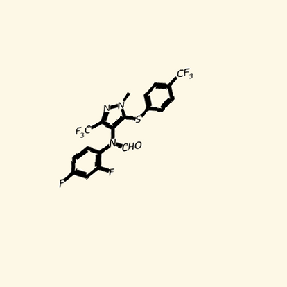 Cn1nc(C(F)(F)F)c(N(C=O)c2ccc(F)cc2F)c1Sc1ccc(C(F)(F)F)cc1